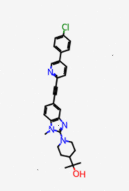 Cn1c(N2CCC(C(C)(C)O)CC2)nc2cc(C#Cc3ccc(-c4ccc(Cl)cc4)cn3)ccc21